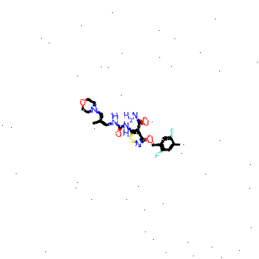 Cc1cc(F)c(COc2nsc(NC(=O)NCC(C)CN3CCOCC3)c2C(N)=O)cc1F